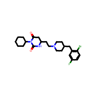 O=C1CC(CCN2CCC(Cc3cc(F)ccc3Br)CC2)NC(=O)N1C1CCCCC1